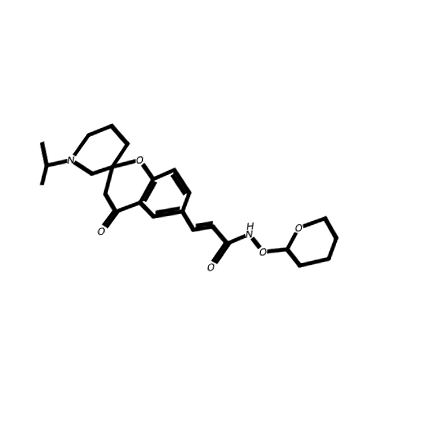 CC(C)N1CCCC2(CC(=O)c3cc(/C=C/C(=O)NOC4CCCCO4)ccc3O2)C1